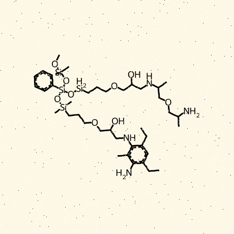 CCc1cc(CC)c(NCC(O)COCCC[Si](C)(C)O[Si](O[SiH2]CCCOCC(O)CNC(C)COCC(C)N)(O[Si](C)(C)OC)c2ccccc2)c(C)c1N